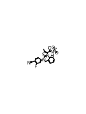 Cc1sc(N(Cc2ccccc2)c2ccc(C#N)c(F)c2)nc1C(=O)NS(C)(=O)=O